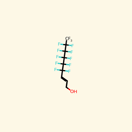 OCC=CC(F)(F)C(F)(F)C(F)(F)C(F)(F)C(F)(F)C(F)(F)F